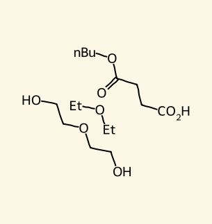 CCCCOC(=O)CCC(=O)O.CCOCC.OCCOCCO